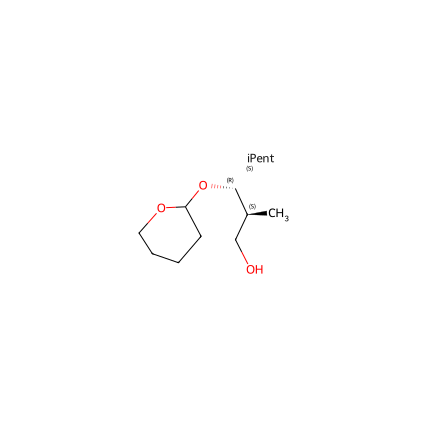 CCC[C@H](C)[C@@H](OC1CCCCO1)[C@@H](C)CO